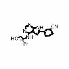 CC(C)[C@H](CO)Nc1ncnc2[nH]c(-c3cccc(C#N)c3)cc12